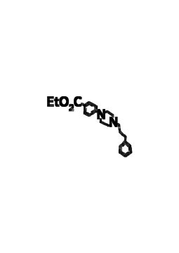 CCOC(=O)c1ccc(N2CCN(CCCc3ccccc3)CC2)cc1